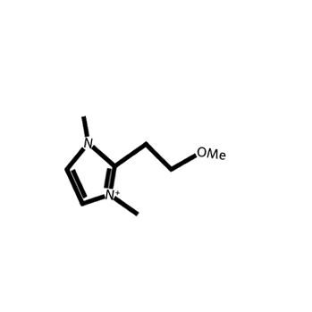 COCCc1n(C)cc[n+]1C